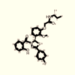 CC[C@@H](C)NC(=O)COc1cccc([C@H]2SC(c3ccc(F)cc3)=NN2C(=O)c2ccccc2O)c1OC